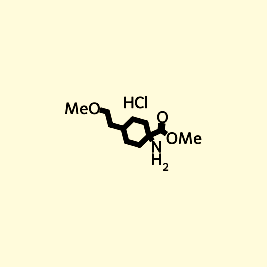 COCCC1CCC(N)(C(=O)OC)CC1.Cl